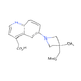 COCC1(C)CN(c2ccc3nccc(C(=O)O)c3c2)C1